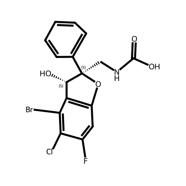 O=C(O)NC[C@]1(c2ccccc2)Oc2cc(F)c(Cl)c(Br)c2[C@@H]1O